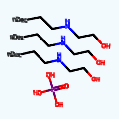 CCCCCCCCCCCCNCCO.CCCCCCCCCCCCNCCO.CCCCCCCCCCCCNCCO.O=P(O)(O)O